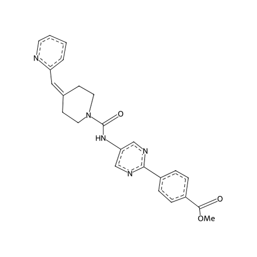 COC(=O)c1ccc(-c2ncc(NC(=O)N3CCC(=Cc4ccccn4)CC3)cn2)cc1